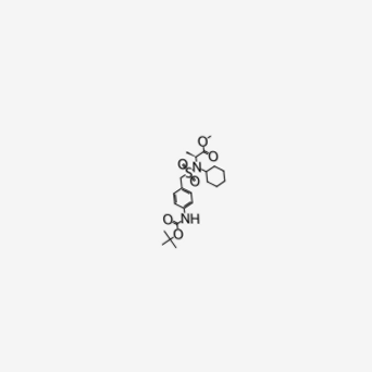 COC(=O)[C@H](C)N(C1CCCCC1)S(=O)(=O)Cc1ccc(NC(=O)OC(C)(C)C)cc1